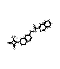 Nc1c(N2CCc3ccc(CNC(=O)c4cc5ccccc5cn4)cc3C2)c(=O)c1=O